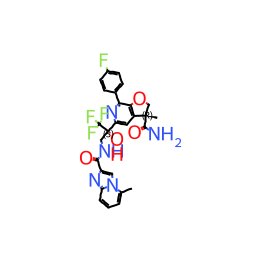 Cc1cccc2nc(C(=O)NC[C@](O)(c3cc4c(c(-c5ccc(F)cc5)n3)OC[C@]4(C)C(N)=O)C(F)(F)F)cn12